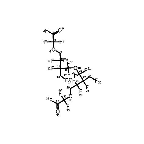 O=C(F)C(F)(F)OCC(F)(F)C(F)(CF)C(F)(F)OC(F)(F)C(F)(CF)C(F)(F)COC(F)(F)C(=O)F